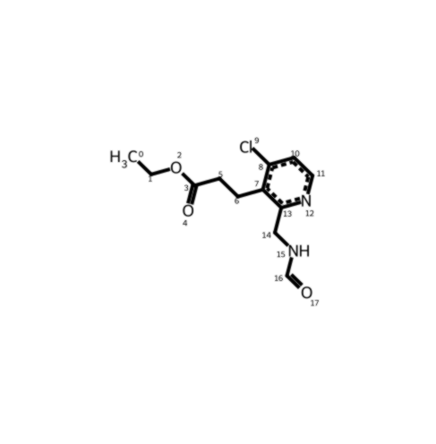 CCOC(=O)CCc1c(Cl)ccnc1CNC=O